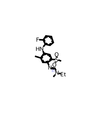 CCN(C)/C=N/c1cc(C)c(Nc2ccccc2F)cc1S(C)(=O)=O